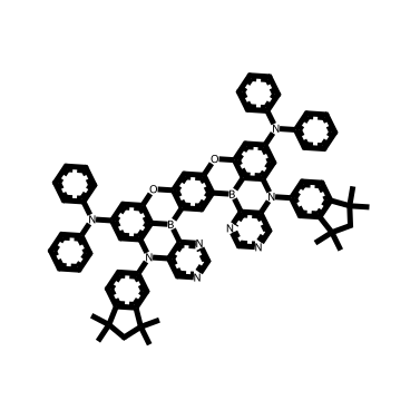 CC1(C)CC(C)(C)c2cc(N3c4cncnc4B4c5cc6c(cc5Oc5cc(N(c7ccccc7)c7ccccc7)cc3c54)Oc3cc(N(c4ccccc4)c4ccccc4)cc4c3B6c3ncncc3N4c3ccc4c(c3)C(C)(C)CC4(C)C)ccc21